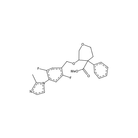 COC(=O)C1(c2ccccc2)CCOCC1OCc1cc(F)c(-n2ccnc2C)cc1F